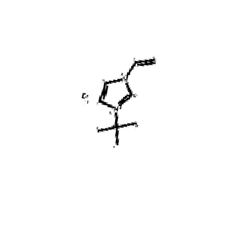 C=Cn1cc[n+](C(C)(C)C)c1.[Br-]